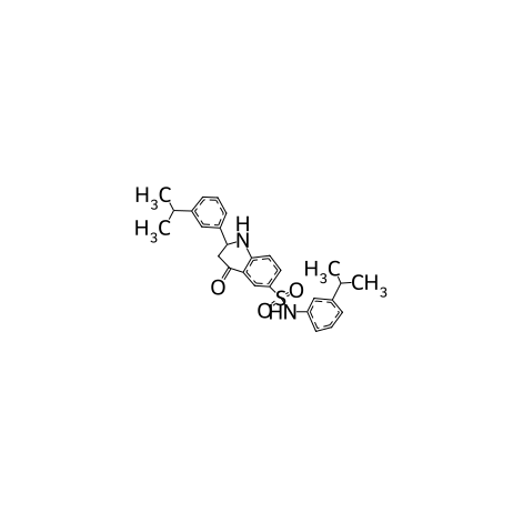 CC(C)c1cccc(NS(=O)(=O)c2ccc3c(c2)C(=O)CC(c2cccc(C(C)C)c2)N3)c1